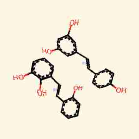 Oc1ccc(/C=C/c2cc(O)cc(O)c2)cc1.Oc1ccccc1/C=C/c1cccc(O)c1O